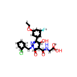 CCOc1cc(F)cc(-c2nn(Cc3ccccc3Cl)c(=O)c(C(=O)NCC(=O)O)c2O)c1